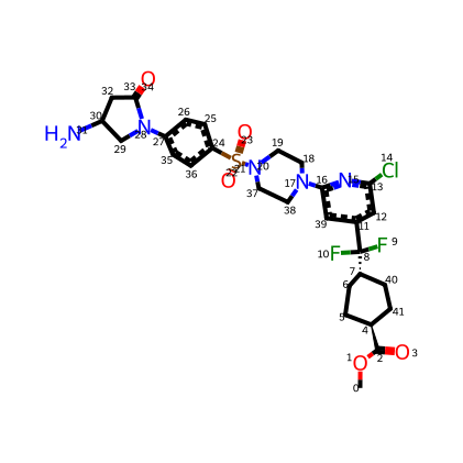 COC(=O)[C@H]1CC[C@H](C(F)(F)c2cc(Cl)nc(N3CCN(S(=O)(=O)c4ccc(N5CC(N)CC5=O)cc4)CC3)c2)CC1